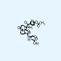 CC(=O)Oc1ccc(C(=O)NN2CCC(=O)N3CCC[C@@H](C(=O)N[C@H](C=O)CC(=O)O)N3C2=O)cn1